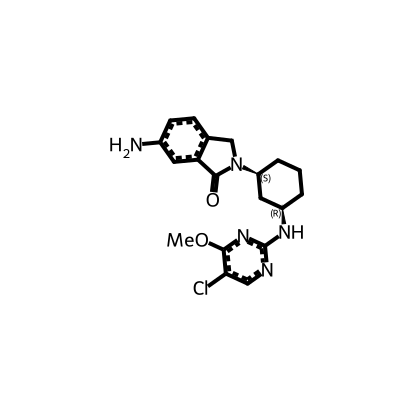 COc1nc(N[C@@H]2CCC[C@H](N3Cc4ccc(N)cc4C3=O)C2)ncc1Cl